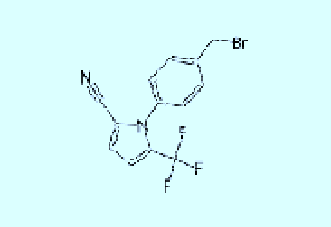 N#Cc1ccc(C(F)(F)F)n1-c1ccc(CBr)cc1